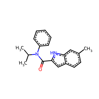 Cc1ccc2cc(C(=O)N(c3ccccc3)C(C)C)[nH]c2c1